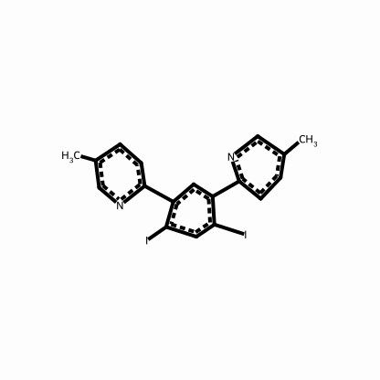 Cc1ccc(-c2cc(-c3ccc(C)cn3)c(I)cc2I)nc1